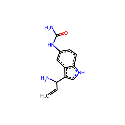 C=CC(N)c1c[nH]c2ccc(NC(N)=O)cc12